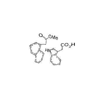 COC(=O)Cc1cccc2ccccc12.O=C(O)Cc1c[nH]c2ccccc12